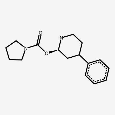 O=C(O[C@@H]1CC(c2ccccc2)CC[N]1)N1CCCC1